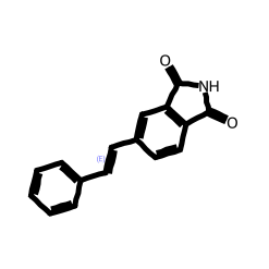 O=C1NC(=O)c2cc(/C=C/c3ccccc3)ccc21